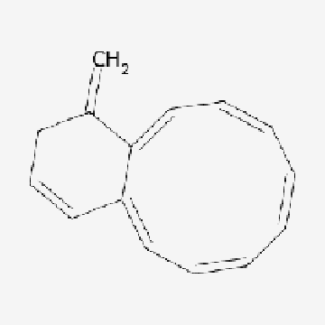 C=C1CC=Cc2ccccccccc21